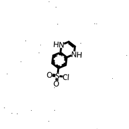 O=S(=O)(Cl)c1ccc2c(c1)NC=CN2